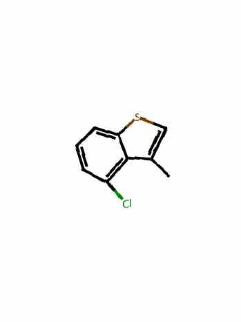 Cc1csc2cccc(Cl)c12